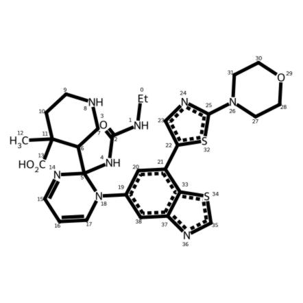 CCNC(=O)NC1(C2CNCCC2(C)C(=O)O)N=CC=CN1c1cc(-c2cnc(N3CCOCC3)s2)c2scnc2c1